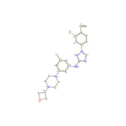 COc1ccc(-n2cnc(Nc3cc(C)cc(N4CCN(C5COC5)CC4)c3)n2)cc1F